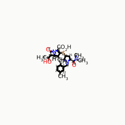 Cc1ccc(C)c(CN2C[C@@H](SC3=C(C(=O)O)N4C(=O)[C@H]([C@@H](C)O)[C@H]4[C@H]3C)C[C@H]2C(=O)N(C)C)c1